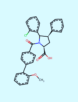 COc1ccccc1-c1ccc(C(=O)N2C(c3ccccc3Cl)[C@@H](c3ccccc3)C[C@H]2C(=O)O)cc1